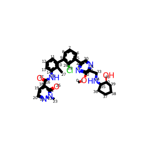 COc1nc(-c2cccc(-c3cccc(NC(=O)c4ccnn(C)c4=O)c3C)c2Cl)cnc1CNC1CCCC[C@@H]1O